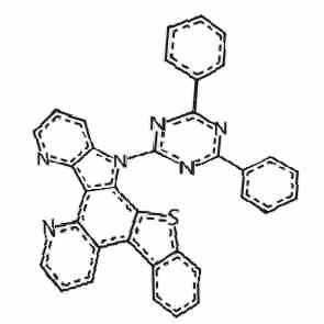 c1ccc(-c2nc(-c3ccccc3)nc(-n3c4cccnc4c4c5ncccc5c5c6ccccc6sc5c43)n2)cc1